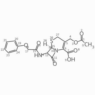 CC(=O)OCC1=C(C(=O)O)N2C(=O)C(NC(=O)COc3ccccc3)[C@H]2SC1